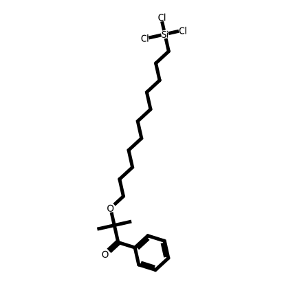 CC(C)(OCCCCCCCCCCC[Si](Cl)(Cl)Cl)C(=O)c1ccccc1